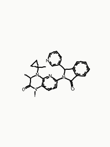 CC1C(=O)N(C)c2ccc(N3C(=O)c4ccccc4C3c3cccnc3)nc2N1C1(C)CC1